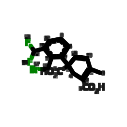 CC1=C(C(=O)O)CC(C(=O)O)(c2cccc(C(F)F)c2CBr)C=C1